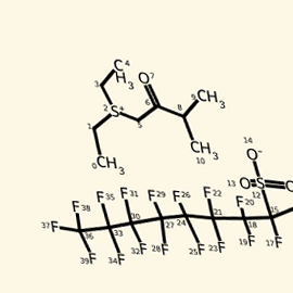 CC[S+](CC)CC(=O)C(C)C.O=S(=O)([O-])C(F)(F)C(F)(F)C(F)(F)C(F)(F)C(F)(F)C(F)(F)C(F)(F)C(F)(F)F